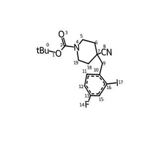 CC(C)(C)OC(=O)N1CCC(C#N)(Cc2ccc(F)cc2I)CC1